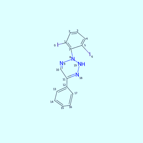 Ic1cccc(I)c1N1N=CC(c2ccccc2)=NN1